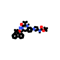 CC(C)[C@H]1C(=O)N[C@H](CO[Si](c2ccccc2)(c2ccccc2)C(C)(C)C)Cc2ccc(N3CC[C@@H](N(C)C(=O)OC(C)(C)C)C3)cc2N1C